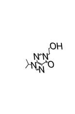 CC(C)n1cnc2c(=O)n(CCO)cnc21